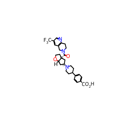 O=C(O)c1ccc(C2CCN([C@@H]3C[C@H]4OCC[C@@]4(C(=O)N4CCc5ncc(C(F)(F)F)cc5C4)C3)CC2)cc1